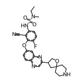 CCN(C)S(=O)(=O)Nc1ccc(F)c(Oc2ccc3ncc(C4COC5(CCNCC5)C4)nc3c2)c1C#N